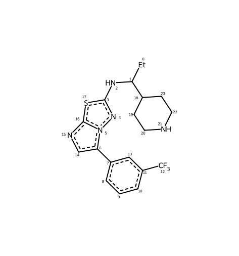 CCC(Nc1nn2c(-c3cccc(C(F)(F)F)c3)cnc2s1)C1CCNCC1